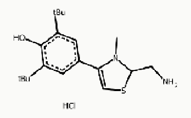 CN1C(c2cc(C(C)(C)C)c(O)c(C(C)(C)C)c2)=CSC1CN.Cl